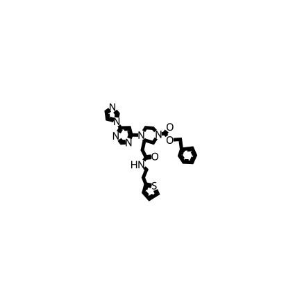 O=C(CC1CN(C(=O)OCc2ccccc2)CCN1c1cc(-n2ccnc2)ncn1)NCCc1cccs1